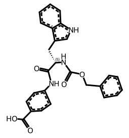 O=C(N[C@@H](Cc1c[nH]c2ccccc12)C(=O)Nc1ccc(C(=O)O)cc1)OCc1ccccc1